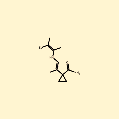 CC/C(C)=C(/C)N/C=C(\C)C1(C(N)=O)CC1